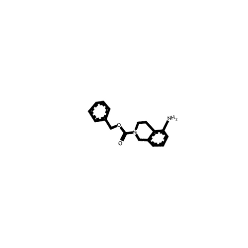 Nc1cccc2c1CCN(C(=O)OCc1ccccc1)C2